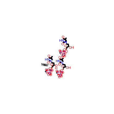 Cc1cn([C@H]2C[C@H](O)[C@@H](COP3(=O)OP(C)(=O)OP(=O)([O-])O3)O2)c(=O)[nH]c1=O.Cc1cn([C@H]2C[C@H](O)[C@@H](COP3(=O)OP(C)(=O)OP(=O)([O-])O3)O2)c(=O)[nH]c1=O.Cc1cn([C@H]2C[C@H](O)[C@@H](COP3(=O)OP(C)(=O)OP(=O)([O-])O3)O2)c(=O)[nH]c1=O.[Na+].[Na+].[Na+]